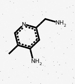 Cc1cnc(CN)cc1N